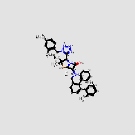 COc1ccc(Cn2nnnc2C2N3C(=O)C(NCc4cccc(-c5ccccc5C)c4-c4ccccc4C)[C@H]3SC2(C)C)c(OC)c1